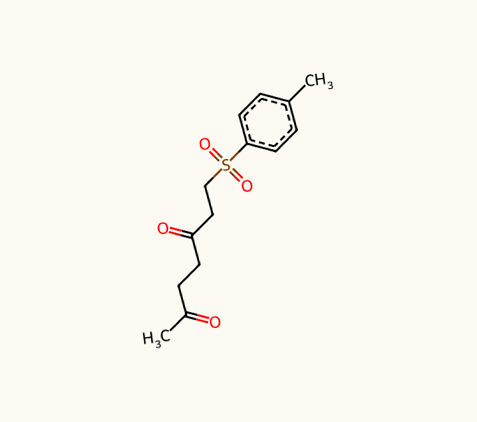 CC(=O)CCC(=O)CCS(=O)(=O)c1ccc(C)cc1